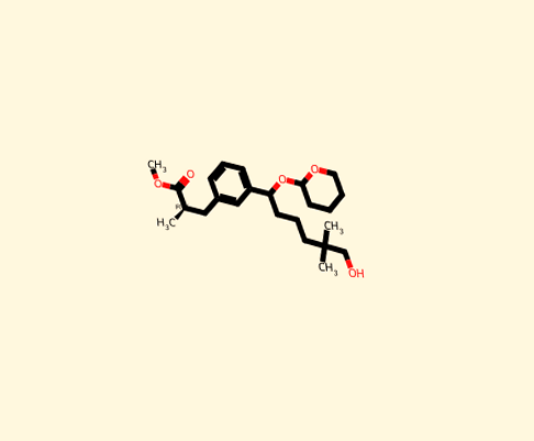 COC(=O)[C@H](C)Cc1cccc(C(CCCC(C)(C)CO)OC2CCCCO2)c1